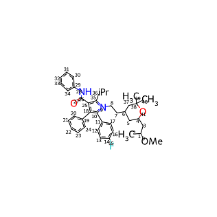 COC(C)CC1CC(CCn2c(-c3ccc(F)cc3)c(-c3ccccc3)c(C(=O)Nc3ccccc3)c2C(C)C)CC(C)(C)O1